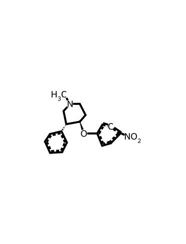 CN1CC[C@@H](Oc2ccc([N+](=O)[O-])cc2)[C@H](c2ccccc2)C1